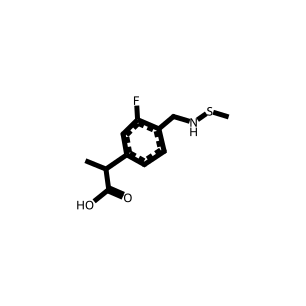 CSNCc1ccc(C(C)C(=O)O)cc1F